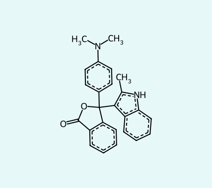 Cc1[nH]c2ccccc2c1C1(c2ccc(N(C)C)cc2)OC(=O)c2ccccc21